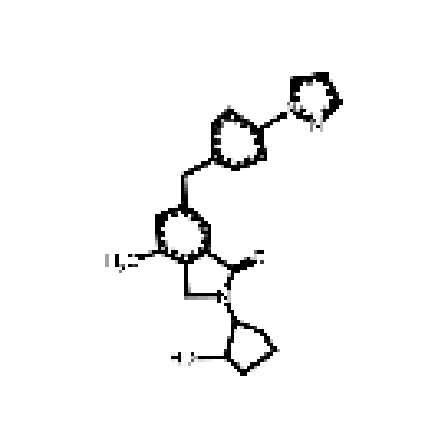 Cc1cc(Cc2ccc(-n3cccn3)cc2)cc2c1CN(C1CCCC1O)C2=O